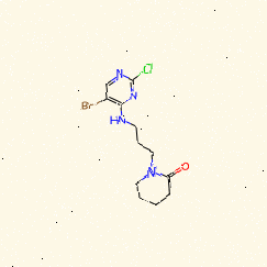 O=C1CCCCN1CCCNc1nc(Cl)ncc1Br